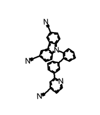 N#Cc1ccnc(-c2cccc(-c3ccccc3-n3c4ccc(C#N)cc4c4cc(C#N)ccc43)c2)c1